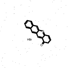 Br.O=C1CC=Cc2nc3cc4ccccc4cc3cc21